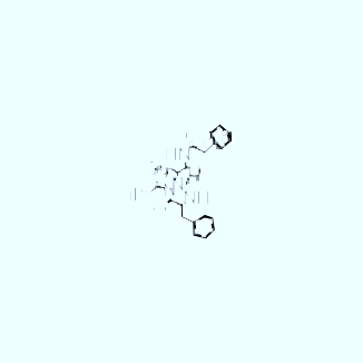 CC[C@H](C)[C@H](NN(C(=O)[C@@H](N)Cc1ccccc1)[C@H](C(=O)O)C(C)C)C(=O)N[C@@H](Cc1ccccc1)C(=O)O